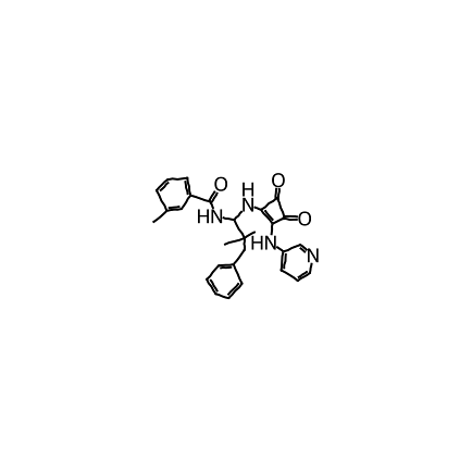 Cc1cccc(C(=O)NC(Nc2c(Nc3cccnc3)c(=O)c2=O)C(C)(C)Cc2ccccc2)c1